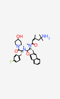 CC(=CC(=O)N(C)[C@H](Cc1ccc2ccccc2c1)C(=O)N(C)[C@H](Cc1ccc(F)cc1)C(=O)N1CCC(O)CC1)CC(C)(C)N